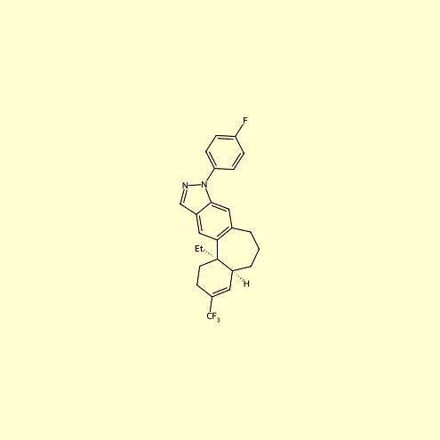 CC[C@@]12CCC(C(F)(F)F)=C[C@@H]1CCCc1cc3c(cnn3-c3ccc(F)cc3)cc12